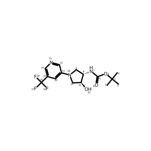 CC(C)(C)OC(=O)N[C@H]1CN(c2cncc(C(F)(F)F)c2)C[C@@H]1O